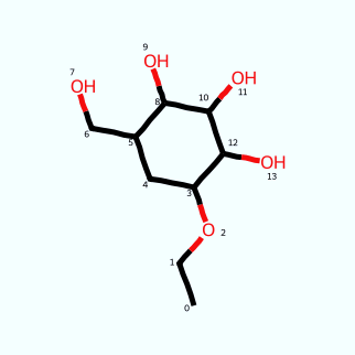 CCOC1CC(CO)C(O)C(O)C1O